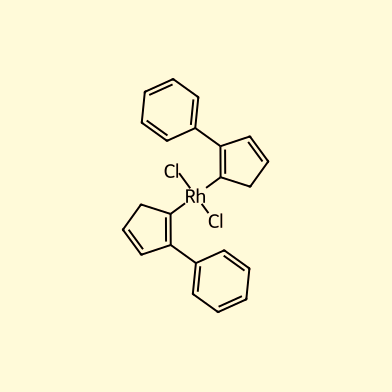 [Cl][Rh]([Cl])([C]1=C(c2ccccc2)C=CC1)[C]1=C(c2ccccc2)C=CC1